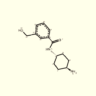 N[C@H]1CC[C@H](NC(=O)c2cccc(CO)c2)CC1